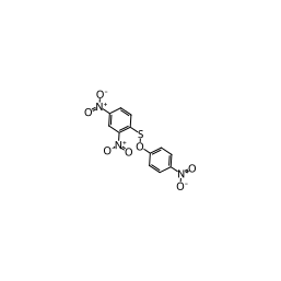 O=[N+]([O-])c1ccc(OSc2ccc([N+](=O)[O-])cc2[N+](=O)[O-])cc1